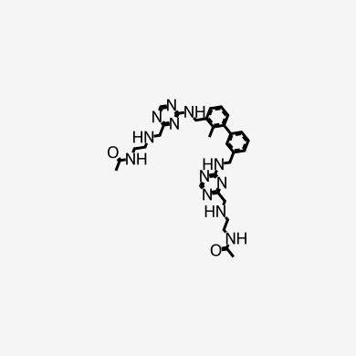 CC(=O)NCCNCc1ncnc(NCc2cccc(-c3cccc(CNc4ncnc(CNCCNC(C)=O)n4)c3C)c2)n1